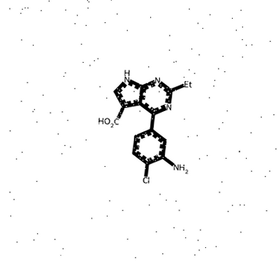 CCc1nc(-c2ccc(Cl)c(N)c2)c2c(C(=O)O)c[nH]c2n1